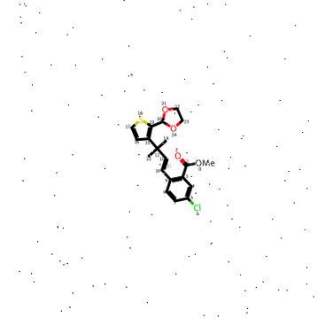 COC(=O)c1cc(Cl)ccc1/C=C/C(C)(C)c1ccsc1C1OCCO1